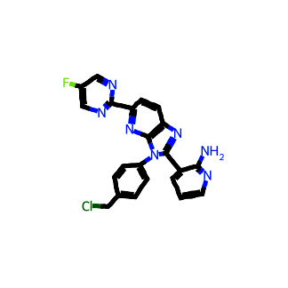 Nc1ncccc1-c1nc2ccc(-c3ncc(F)cn3)nc2n1-c1ccc(CCl)cc1